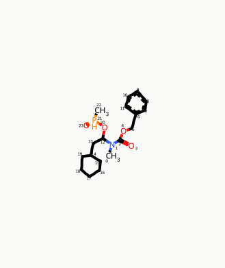 CN(C(=O)OCc1ccccc1)C(CC1CCCCC1)O[PH](C)=O